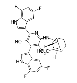 N#Cc1c(-c2c[nH]c3c(F)cc(F)cc23)nc(N[C@@H]2C3CCC(CC3)[C@H]2C(=O)O)c(F)c1-c1c[nH]c2c(F)cc(F)cc12